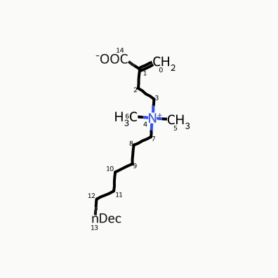 C=C(CC[N+](C)(C)CCCCCCCCCCCCCCCC)C(=O)[O-]